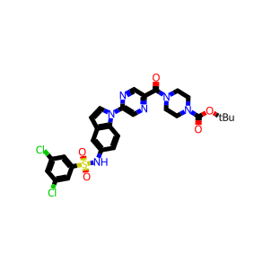 CC(C)(C)OC(=O)N1CCN(C(=O)c2cnc(-n3ccc4cc(NS(=O)(=O)c5cc(Cl)cc(Cl)c5)ccc43)cn2)CC1